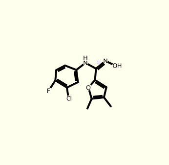 Cc1cc(/C(=N\O)Nc2ccc(F)c(Cl)c2)oc1C